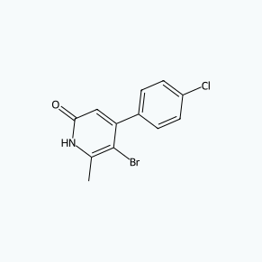 Cc1[nH]c(=O)cc(-c2ccc(Cl)cc2)c1Br